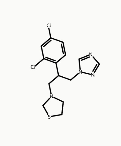 Clc1ccc(C(CN2CCSC2)Cn2cncn2)c(Cl)c1